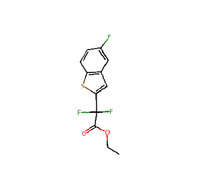 CCOC(=O)C(F)(F)c1cc2cc(F)ccc2s1